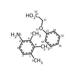 Cc1ccc(N)c(C)c1C.O=C(O)COc1ccccc1